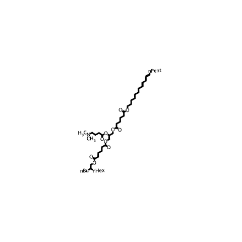 CCCCC/C=C/C/C=C/CCCCCCCOC(=O)CCCCC(=O)OCC(COC(=O)CCCCC(=O)OCC(CCCC)CCCCCC)OC(=O)CCCN(C)C